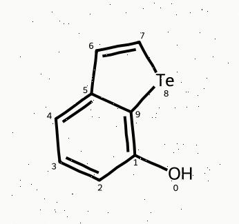 Oc1cccc2cc[te]c12